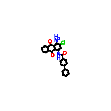 Nc1c(Cl)cc(NC(=O)c2ccc(-c3ccccc3)cc2)c2c1C(=O)c1ccccc1C2=O